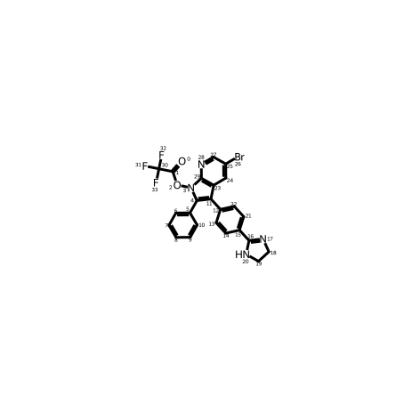 O=C(On1c(-c2ccccc2)c(-c2ccc(C3=NCCN3)cc2)c2cc(Br)cnc21)C(F)(F)F